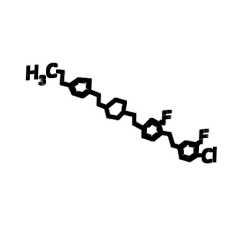 CCCc1ccc(CCC2CCC(CCc3ccc(CCc4ccc(Cl)c(F)c4)c(F)c3)CC2)cc1